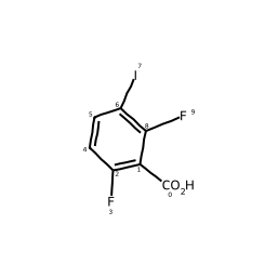 O=C(O)c1c(F)ccc(I)c1F